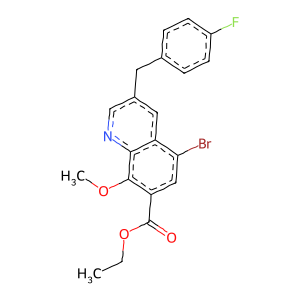 CCOC(=O)c1cc(Br)c2cc(Cc3ccc(F)cc3)cnc2c1OC